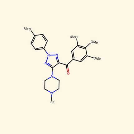 COc1ccc(-n2nc(C(=O)c3cc(OC)c(OC)c(OC)c3)c(N3CCN(C(C)=O)CC3)n2)cc1